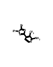 CC(C)n1nc(-c2ccnc(N)c2C(F)(F)F)nc1Br